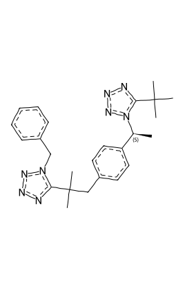 C[C@@H](c1ccc(CC(C)(C)c2nnnn2Cc2ccccc2)cc1)n1nnnc1C(C)(C)C